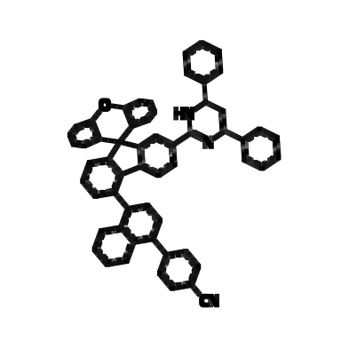 N#Cc1ccc(-c2ccc(-c3cccc4c3-c3ccc(C5=NC(c6ccccc6)=CC(c6ccccc6)N5)cc3C43c4ccccc4Oc4ccccc43)c3ccccc23)cc1